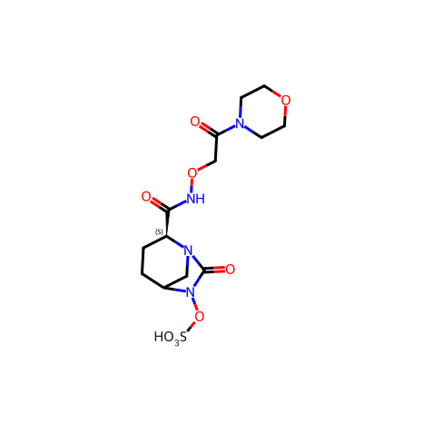 O=C(NOCC(=O)N1CCOCC1)[C@@H]1CCC2CN1C(=O)N2OS(=O)(=O)O